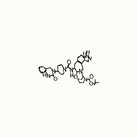 CC(C)(C)OC(=O)N1CCC2CC1N1CC3=C(C=C[C@H]4NN=CC34)CC(NC(=O)N3CCC(N4Cc5ccccc5NC4=O)CC3)C1O2